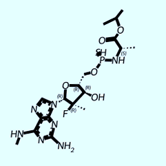 CNc1nc(N)nc2c1ncn2[C@@H]1O[C@H](CO[PH](=S)N[C@@H](C)C(=O)OC(C)C)[C@@H](O)[C@@]1(C)F